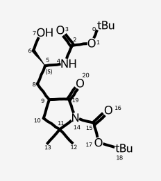 CC(C)(C)OC(=O)N[C@H](CO)CC1CC(C)(C)N(C(=O)OC(C)(C)C)C1=O